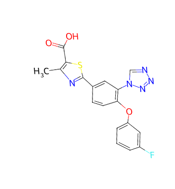 Cc1nc(-c2ccc(Oc3cccc(F)c3)c(-n3cnnn3)c2)sc1C(=O)O